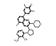 Cc1cc(-c2ccc(F)c3cc(C4CCCN4c4ncnc(N)c4C#N)c(N4CCOCC4)nc23)cn(C)c1=O